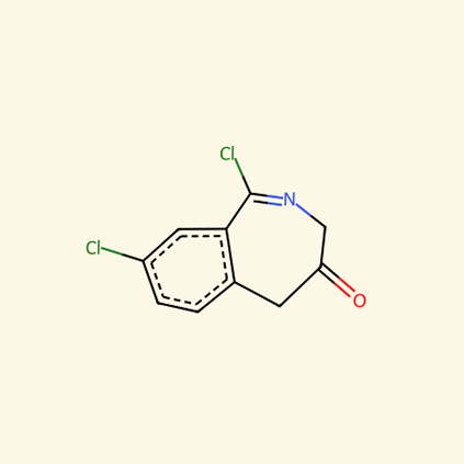 O=C1CN=C(Cl)c2cc(Cl)ccc2C1